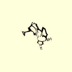 F[C@H]1CNC[C@@H]1Nc1cccc(-c2cnc3cc(C4CC4)cnn23)n1